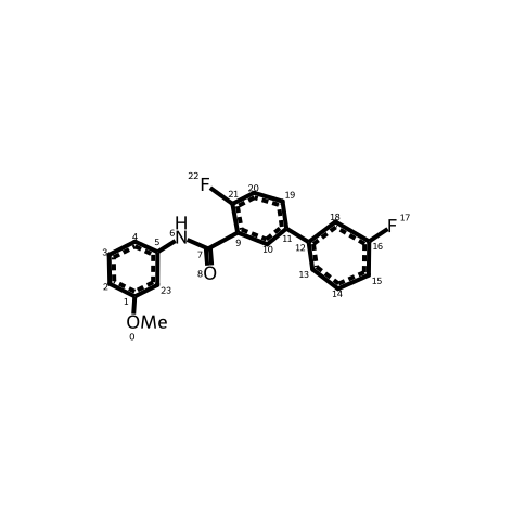 COc1cccc(NC(=O)c2cc(-c3cccc(F)c3)ccc2F)c1